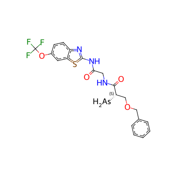 O=C(CNC(=O)[C@@H]([AsH2])COCc1ccccc1)Nc1nc2ccc(OC(F)(F)F)cc2s1